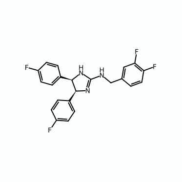 Fc1ccc([C@H]2NC(NCc3ccc(F)c(F)c3)=N[C@H]2c2ccc(F)cc2)cc1